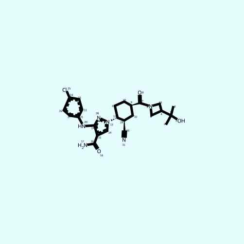 CC(C)(O)C1CN(C(=O)[C@@H]2CC[C@@H](n3cc(C(N)=O)c(Nc4ccc(Cl)cc4)n3)[C@H](C#N)C2)C1